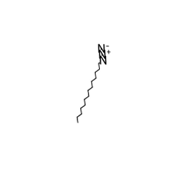 CCCCCCCCCCCCCCN=[N+]=[N-]